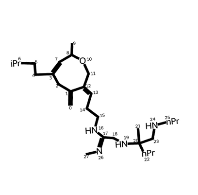 C=C1C/C(CCC(C)C)=C\C(C)OC/C1=C/CCN/C(CNC(C)(CCC)CNCCC)=N\C